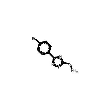 NSc1nc(-c2ccc(Br)cc2)ns1